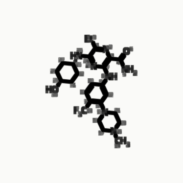 CCc1nc(C(N)=O)c(Nc2ccc(C(F)(F)F)c(N3CCN(C)CC3)c2)nc1N[C@H]1CC[C@H](O)CC1